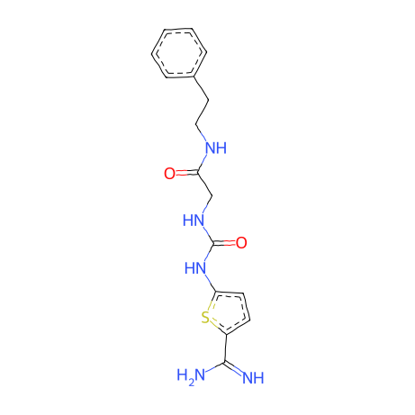 N=C(N)c1ccc(NC(=O)NCC(=O)NCCc2ccccc2)s1